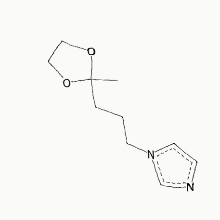 CC1(CCCn2ccnc2)OCCO1